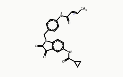 C/C=C/C(=O)Nc1ccc(CN2C(=O)C(=O)c3cc(NC(=O)C4CC4)ccc32)cc1